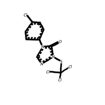 O=c1n(-c2ccc(Cl)cc2)cnn1SC(Cl)(Cl)Cl